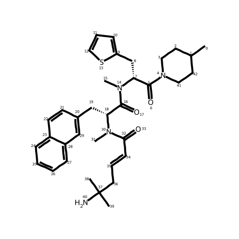 CC1CCN(C(=O)[C@@H](Cc2cccs2)N(C)C(=O)[C@@H](Cc2ccc3ccccc3c2)N(C)C(=O)/C=C/CC(C)(C)N)CC1